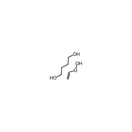 C=COO.OCCCCO